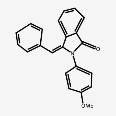 COc1ccc(N2C(=O)c3ccccc3C2=Cc2ccccc2)cc1